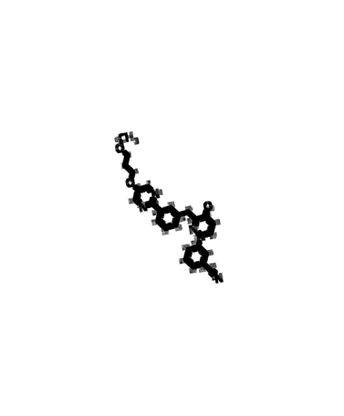 COCCCOc1cnc(-c2cccc(Cc3nn(-c4cccc(C#N)c4)ccc3=O)c2)nc1